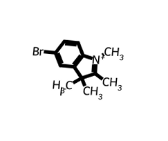 CC1=[N+](C)c2ccc(Br)cc2C1(C)C.[I-]